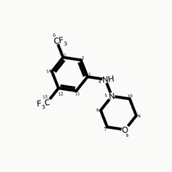 FC(F)(F)c1cc(NN2C[CH]OCC2)cc(C(F)(F)F)c1